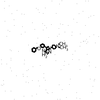 CCN(CC)C1CCC(n2cc(-c3cccc(OCc4ccccc4)c3)c3c(N)ncnc32)CC1